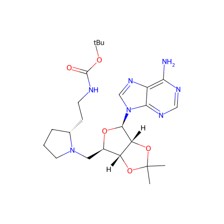 CC(C)(C)OC(=O)NCC[C@H]1CCCN1C[C@H]1O[C@@H](n2cnc3c(N)ncnc32)[C@@H]2OC(C)(C)O[C@@H]21